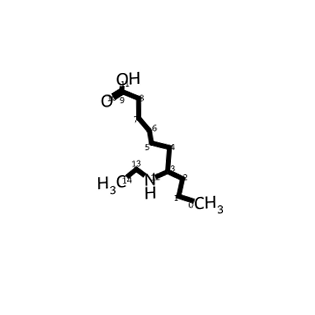 CCCC(CCCCCC(=O)O)NCC